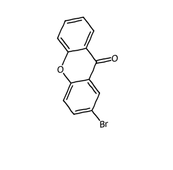 O=c1c2ccccc2oc2ccc(Br)cc12